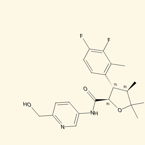 Cc1c([C@@H]2[C@@H](C)C(C)(C)O[C@H]2C(=O)Nc2ccc(CO)nc2)ccc(F)c1F